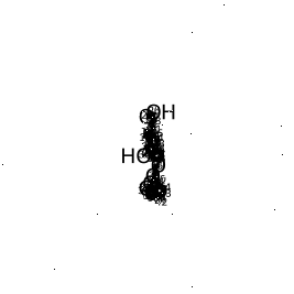 C[C@H]1C(OCCO[C@@H]2CC[C@]3(C)C4CC[C@@]5(C)C(CC[C@@H]5CCCC(=O)O)C4C[C@H](O)C3C2)OC2O[C@@]3(C)CCC4[C@H](C)CCC1C24O3